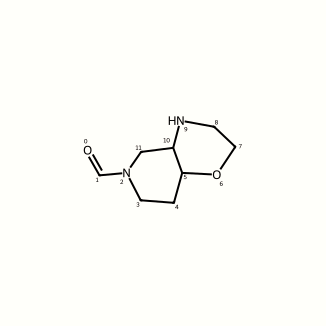 O=CN1CCC2OCCNC2C1